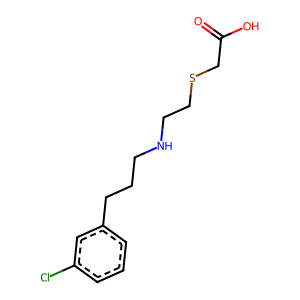 O=C(O)CSCCNCCCc1cccc(Cl)c1